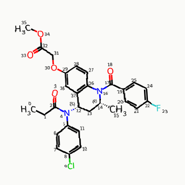 CCC(=O)N(c1ccc(Cl)cc1)[C@H]1C[C@@H](C)N(C(=O)c2ccc(F)cc2)c2ccc(OCC(=O)OC)cc21